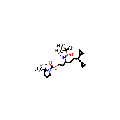 CC1(C)CCCN1C(=O)OCCC(CCC(C1CC1)C1CC1)N[S+]([O-])C(C)(C)C